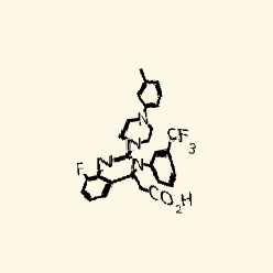 Cc1cccc(N2CCN(C3=Nc4c(F)cccc4C(CC(=O)O)N3c3cccc(C(F)(F)F)c3)CC2)c1